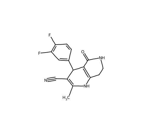 CC1=C(C#N)C(c2ccc(F)c(F)c2)C2=C(CCNC2=O)N1